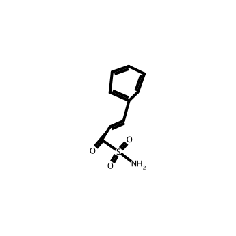 NS(=O)(=O)C(=O)C=Cc1ccccc1